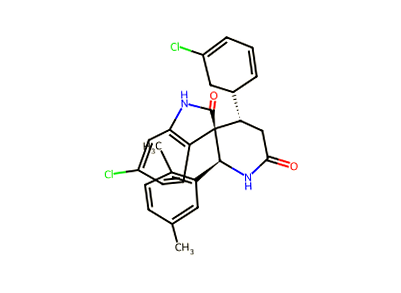 Cc1ccc(C)c([C@@H]2NC(=O)C[C@@H](C3C=CC=C(Cl)C3)[C@]23C(=O)Nc2cc(Cl)ccc23)c1